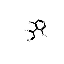 C=CC(=C)c1c(C)cncc1C